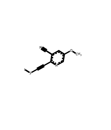 COc1cnc(C#CSI)c(C#N)c1